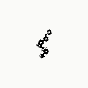 c1cc(-c2ccsc2)c2nc(-c3n[nH]c4ccc(-c5cncc(CN6CCCCC6)c5)cc34)[nH]c2c1